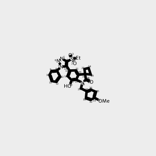 CCS(=O)(=O)c1nnn(-c2ccccc2)c1-c1cc(O)c2c(c1)C1(CCC1)C(=O)N2Cc1ccc(OC)cc1